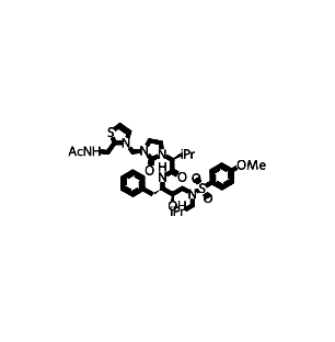 COc1ccc(S(=O)(=O)N(CC(C)C)C[C@@H](O)[C@H](Cc2ccccc2)NC(=O)[C@H](C(C)C)N2CCN(CN3C=CSC3CNC(C)=O)C2=O)cc1